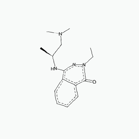 CCn1nc(N[C@@H](C)CN(C)C)c2ccccc2c1=O